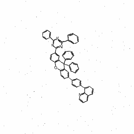 c1ccc(-c2nc(-c3ccccc3)nc(-c3ccc4c(c3)C(c3ccccc3)(c3ccccc3)c3cc(-c5ccc(-c6cccc7cccnc67)cc5)ccc3O4)n2)cc1